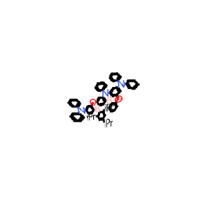 CC(C)c1cc(C(C)C)c(B2c3ccc(N(c4ccccc4)c4ccccc4)cc3Oc3cc4c(cc32)B2c3ccccc3Oc3cc(N(c5ccccc5)c5ccccc5)cc(c32)N4c2ccccc2)c(C(C)C)c1